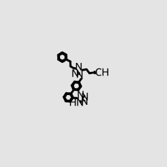 C#CCCc1nc(CCc2ccccc2)nn1Cc1ccc(-c2ccccc2-c2nnn[nH]2)cc1